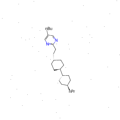 CCCCc1cnc(CC[C@H]2CC[C@H]([C@H]3CC[C@H](CCC)CC3)CC2)nc1